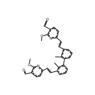 COc1nc(/C=C/c2cccc(-c3cccc(/C=C/c4ccc(C=O)c(OC)n4)c3C)c2C)ccc1C=O